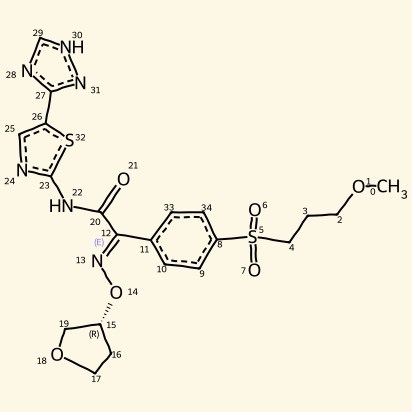 COCCCS(=O)(=O)c1ccc(/C(=N\O[C@@H]2CCOC2)C(=O)Nc2ncc(-c3nc[nH]n3)s2)cc1